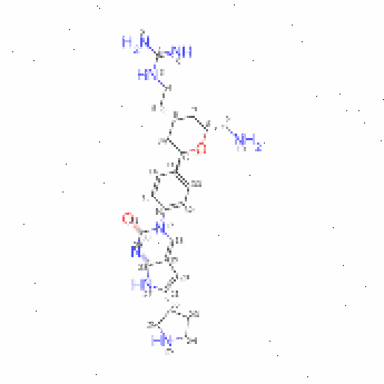 N=C(N)NCC[C@@H]1C[C@H](CN)O[C@@H](c2ccc(-n3cc4cc([C@@H]5CCNC5)[nH]c4nc3=O)cc2)C1